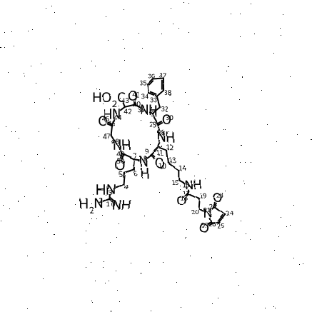 N=C(N)NCCC[C@@H]1NC(=O)C(CCCCNC(=O)CCN2C(=O)C=CC2=O)NC(=O)C(Cc2ccccc2)NC(=O)C(C(=O)O)NC(=O)CNC1=O